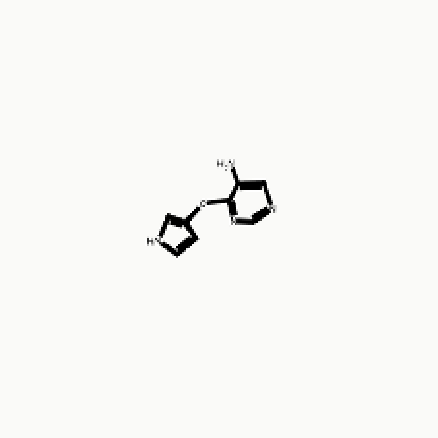 Nc1cncnc1Oc1cc[nH]c1